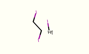 ICCI.[I][Hf]